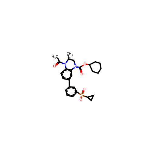 CC(=O)N1c2ccc(-c3cccc(S(=O)(=O)C4CC4)c3)cc2N(C(=O)OC2CCCCC2)C[C@@H]1C